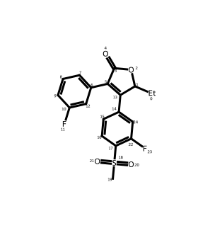 CCC1OC(=O)C(c2cccc(F)c2)=C1c1ccc(S(C)(=O)=O)c(F)c1